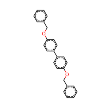 c1ccc(COc2ccc(-c3ccc(OCc4ccccc4)cc3)cc2)cc1